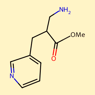 COC(=O)C(CN)Cc1cccnc1